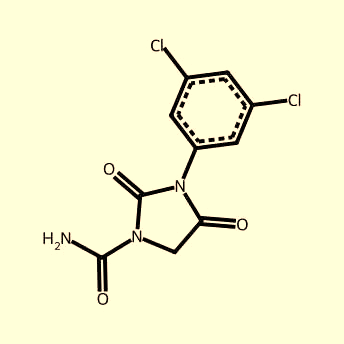 NC(=O)N1CC(=O)N(c2cc(Cl)cc(Cl)c2)C1=O